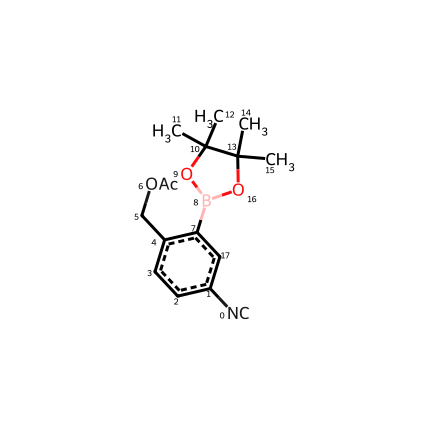 [C-]#[N+]c1ccc(COC(C)=O)c(B2OC(C)(C)C(C)(C)O2)c1